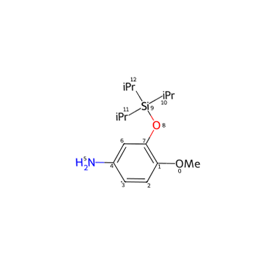 COc1c[c]c(N)cc1O[Si](C(C)C)(C(C)C)C(C)C